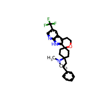 CN(C)C1(CCc2ccccc2)CCC2(CC1)OCCc1c2[nH]c2ncc(C(F)(F)F)cc12